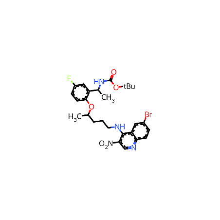 CC(CCCNc1c([N+](=O)[O-])cnc2ccc(Br)cc12)Oc1ccc(F)cc1C(C)NC(=O)OC(C)(C)C